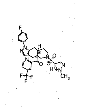 CN1N=CC(S(=O)(=O)N2CC[C@H]3Cc4c(cnn4-c4ccc(F)cc4)C[C@]3(C(=O)c3cc(C(F)(F)F)ccn3)C2)N1